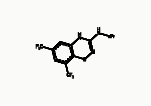 CCCNC1=NSc2c(cc(C(F)(F)F)cc2C(F)(F)F)N1